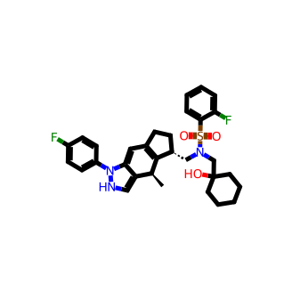 C[C@H]1C2=CNN(c3ccc(F)cc3)C2=CC2=C1[C@@H](CN(CC1(O)CCCCC1)S(=O)(=O)c1ccccc1F)CC2